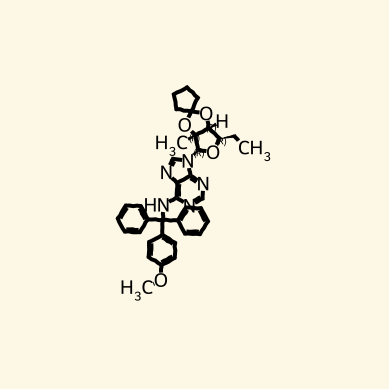 CC[C@H]1O[C@@H](n2cnc3c(NC(c4ccccc4)(c4ccccc4)c4ccc(OC)cc4)ncnc32)[C@]2(C)OC3(CCCC3)O[C@H]12